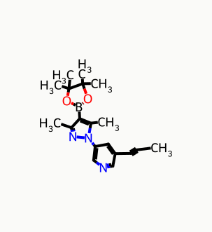 CC#Cc1cncc(-n2nc(C)c(B3OC(C)(C)C(C)(C)O3)c2C)c1